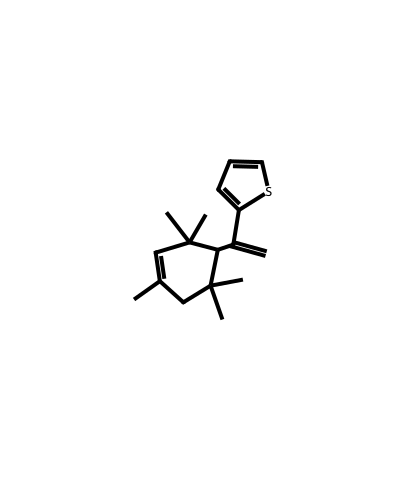 C=C(c1cccs1)C1C(C)(C)C=C(C)CC1(C)C